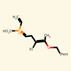 C=C/[PH](=C\C/C(CC)=C(\C)OCC(C)CCC)C(=O)O